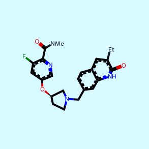 CCc1cc2ccc(CN3CC[C@@H](Oc4cnc(C(=O)NC)c(F)c4)C3)cc2[nH]c1=O